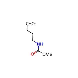 COC(=O)NCCC[C]=O